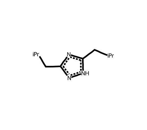 CC(C)Cc1n[nH]c(CC(C)C)n1